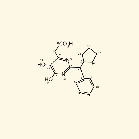 O=C(O)Cc1nc(C(c2ccccc2)C2CCCC2)nc(O)c1O